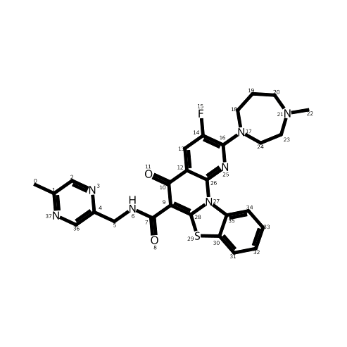 Cc1cnc(CNC(=O)c2c(=O)c3cc(F)c(N4CCCN(C)CC4)nc3n3c2sc2ccccc23)cn1